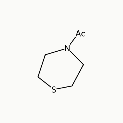 [CH2]C(=O)N1CCSCC1